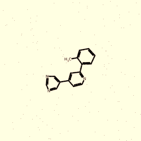 Cc1ccccc1-c1cc(-c2cncnc2)ccn1